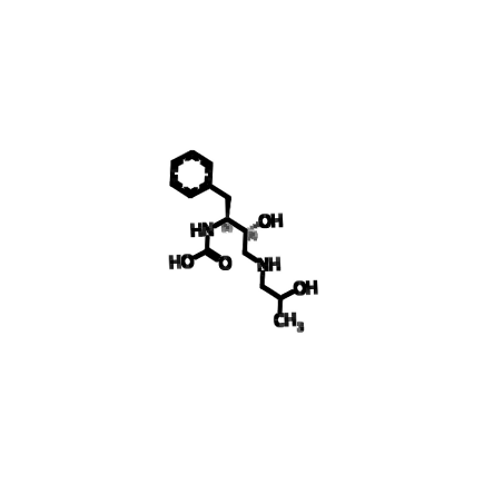 CC(O)CNC[C@@H](O)[C@H](Cc1ccccc1)NC(=O)O